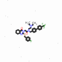 CCN(CC)CCN(Cc1ccc(-c2ccc(C(F)(F)F)cc2)cc1)C(=O)Cn1c(SCc2ccc(F)cc2)nc2c(c1=O)CCCC2